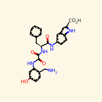 NCc1ccc(O)cc1NC(=O)C(=O)N[C@@H](Cc1ccccc1)C(=O)Nc1ccc2[nH]c(C(=O)O)cc2c1